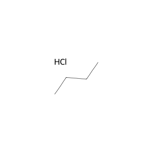 CCCC.Cl